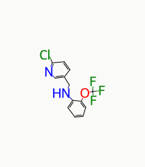 FC(F)(F)Oc1ccccc1NCc1ccc(Cl)nc1